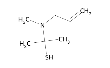 C=CCN(C)C(C)(C)S